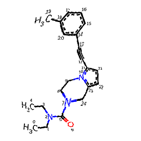 CCN(CC)C(=O)N1CCn2c(C#Cc3cccc(C)c3)ccc2C1